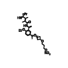 C=C(NC(=O)/C(C)=C(\C)C(=N)CCC)c1cc(P(C)ON2CC(OCCCO[N+](=O)[O-])C2)ccc1OCC